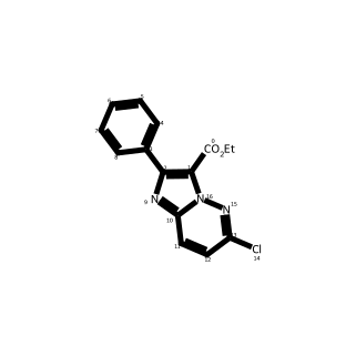 CCOC(=O)c1c(-c2ccccc2)nc2ccc(Cl)nn12